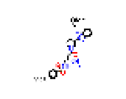 COCCCn1c(C2CCCN(C(=O)CC(N)CNS(=O)(=O)c3ccc(OC)cc3)C2)nc2ccccc21